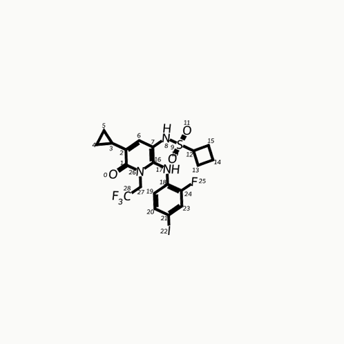 O=c1c(C2CC2)cc(NS(=O)(=O)C2CCC2)c(Nc2ccc(I)cc2F)n1CC(F)(F)F